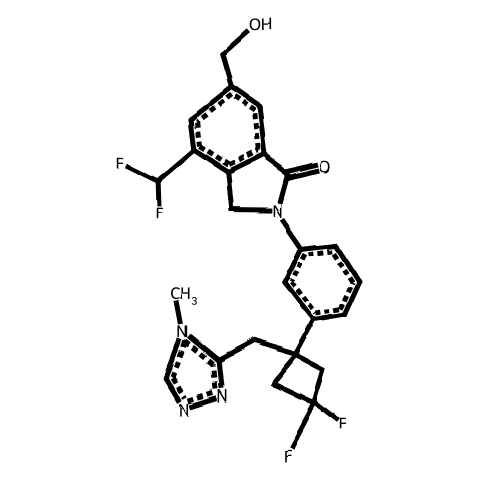 Cn1cnnc1CC1(c2cccc(N3Cc4c(cc(CO)cc4C(F)F)C3=O)c2)CC(F)(F)C1